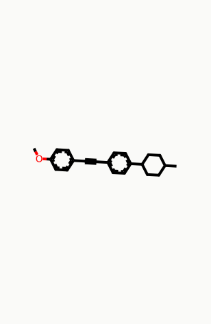 COc1ccc(C#Cc2ccc(C3CCC(C)CC3)cc2)cc1